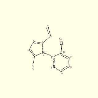 O=Cc1ccc(I)n1-c1ncccc1Cl